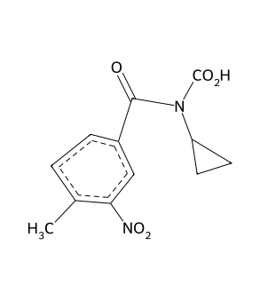 Cc1ccc(C(=O)N(C(=O)O)C2CC2)cc1[N+](=O)[O-]